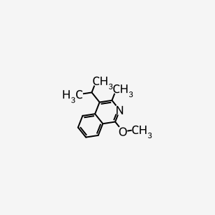 COc1nc(C)c(C(C)C)c2ccccc12